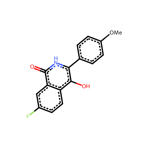 COc1ccc(-c2[nH]c(=O)c3cc(F)ccc3c2O)cc1